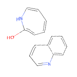 OC1=CC=CC=CN1.c1ccc2ncccc2c1